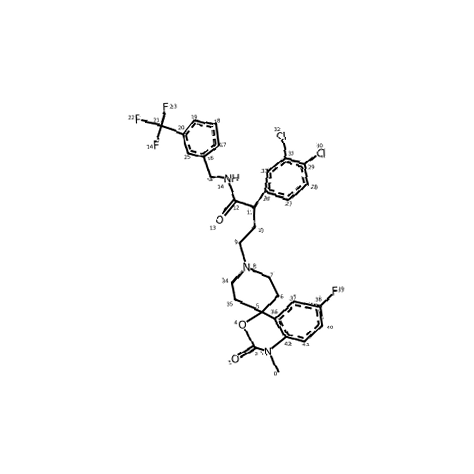 CN1C(=O)OC2(CCN(CCC(C(=O)NCc3cccc(C(F)(F)F)c3)c3ccc(Cl)c(Cl)c3)CC2)c2cc(F)ccc21